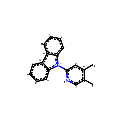 Cc1cnc(-n2c3ccccc3c3ccccc32)cc1C